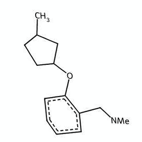 CNCc1ccccc1OC1CCC(C)C1